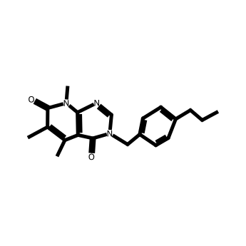 CCCc1ccc(Cn2cnc3c(c(C)c(C)c(=O)n3C)c2=O)cc1